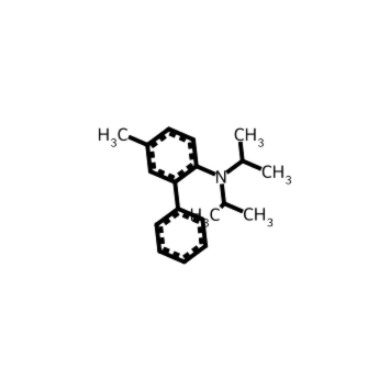 Cc1ccc(N(C(C)C)C(C)C)c(-c2ccccc2)c1